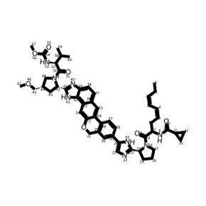 CC/C=C\C=C/CC(NC(=O)C1CC1)C(=O)N1CCC[C@H]1c1ncc(-c2ccc3c(c2)COc2cc4c(ccc5nc([C@@H]6C[C@H](COC)CN6C(=O)[C@@H](NC(=O)OC)C(C)C)[nH]c54)cc2-3)[nH]1